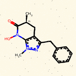 C[C@H]1Cc2c(Cc3ccccc3)nn(C)c2N(O)C1=O